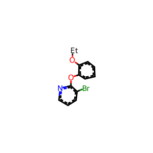 CCOc1ccccc1Oc1ncccc1Br